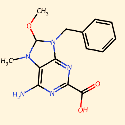 COC1N(C)c2c(N)nc(C(=O)O)nc2N1Cc1ccccc1